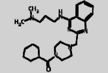 CN(C)CCCNc1nc(CN2CCN(C(=O)C3CCCCC3)CC2)nc2ccccc12